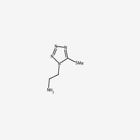 [CH2]Sc1nnnn1CCN